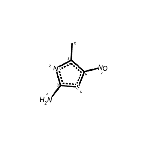 Cc1nc(N)sc1N=O